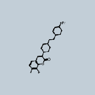 CCCC1CCC(CCC2CCC(C3Cc4ccc(C)c(F)c4OC3=O)CC2)CC1